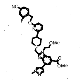 COCCn1c(CN2CCC(c3cccc(OCc4ccc(C#N)cc4F)n3)CC2)nc2c(-c3cnn(C)c3)cc(C(=O)OC)cc21